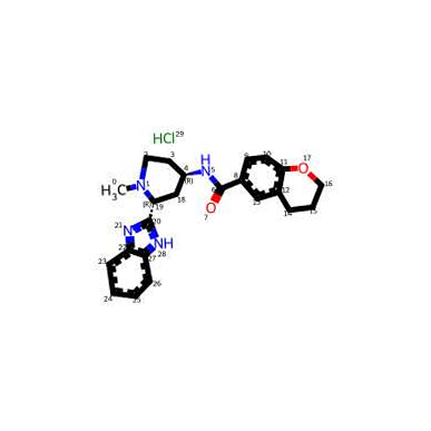 CN1CC[C@@H](NC(=O)c2ccc3c(c2)CCCO3)C[C@@H]1c1nc2ccccc2[nH]1.Cl